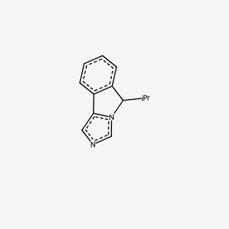 CC(C)C1c2ccccc2-c2cncn21